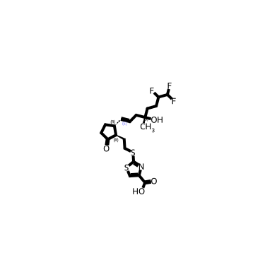 C[C@@](O)(C/C=C/[C@H]1CCC(=O)[C@@H]1CCSc1nc(C(=O)O)cs1)CCC(F)C(F)F